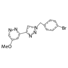 COc1cnnc(-c2cn(Cc3ccc(Br)cc3)nn2)c1